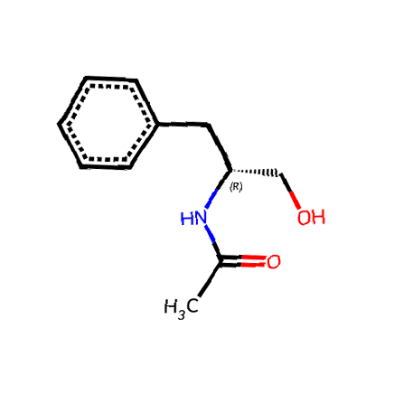 CC(=O)N[C@@H](CO)Cc1ccccc1